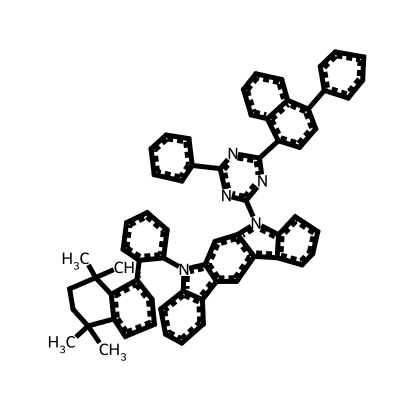 CC1(C)CCC(C)(C)c2c(-c3ccccc3-n3c4ccccc4c4cc5c6ccccc6n(-c6nc(-c7ccccc7)nc(-c7ccc(-c8ccccc8)c8ccccc78)n6)c5cc43)cccc21